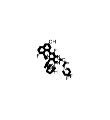 C#Cc1c(F)ccc2cc(O)cc(-c3nc(C#CC)c4c(N5C[C@H]6CC[C@@H](C5)N6)nc(O[C@@H](C)CN5CCC(F)(F)CC5)nc4c3F)c12